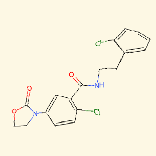 O=C(NCCc1ccccc1Cl)c1cc(N2CCOC2=O)ccc1Cl